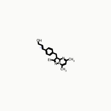 CCC1=NN2C(C)=CC(C)=NC2C1Cc1ccc(/C=C/CO)cc1